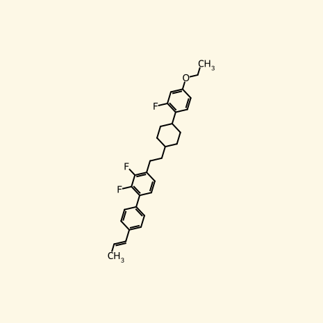 C/C=C/c1ccc(-c2ccc(CCC3CCC(c4ccc(OCC)cc4F)CC3)c(F)c2F)cc1